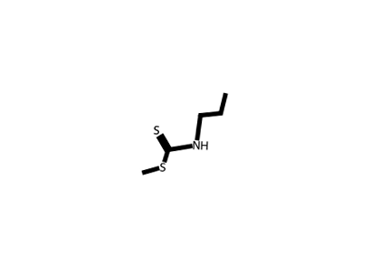 CCCNC(=S)SC